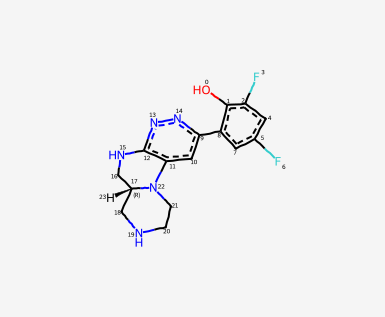 Oc1c(F)cc(F)cc1-c1cc2c(nn1)NC[C@H]1CNCCN21